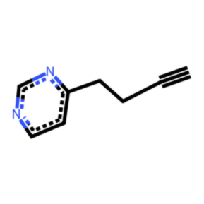 C#CCCc1ccncn1